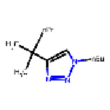 CCCCn1cc(C(C)(C)CCC)nn1